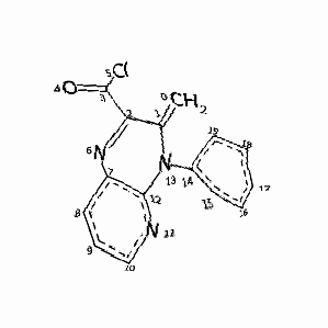 C=C1C(C(=O)Cl)=Nc2cccnc2N1c1ccccc1